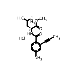 CC#Cc1cc(N)ccc1C(=O)N[C@@H](CC(C)C)C(=O)OC.Cl